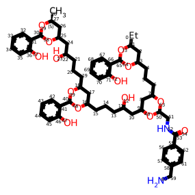 CCC1CC(CCCC2CC(CC(O)CCCC3CC(CCCC(O)CC4C[C@H](C)OC(c5ccccc5O)O4)OC(c4ccccc4O)O3)OC(CNC(=O)c3ccc(CN)cc3)O2)OC(c2ccccc2O)O1